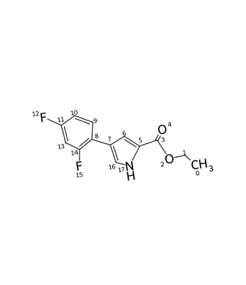 CCOC(=O)c1cc(-c2ccc(F)cc2F)c[nH]1